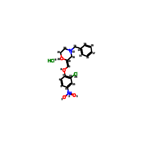 Cl.O=[N+]([O-])c1ccc(OC=C2CN(Cc3ccccc3)CCO2)c(Cl)c1